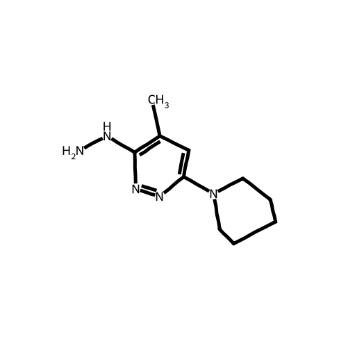 Cc1cc(N2CCCCC2)nnc1NN